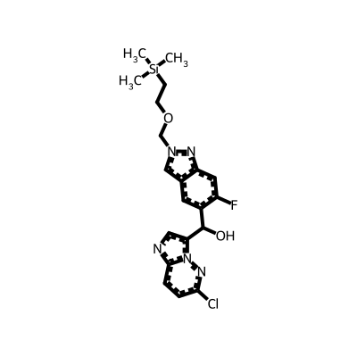 C[Si](C)(C)CCOCn1cc2cc(C(O)c3cnc4ccc(Cl)nn34)c(F)cc2n1